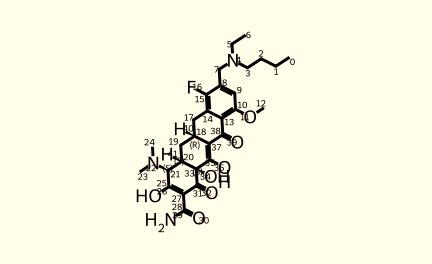 CCCCN(CC)Cc1cc(OC)c2c(c1F)C[C@H]1C[C@H]3[C@H](N(C)C)C(O)=C(C(N)=O)C(=O)[C@@]3(O)C(O)=C1C2=O